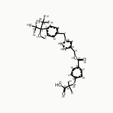 COC(c1ccc(Cn2cc(COC(=O)c3ccc(SC(C)(C)C(=O)O)cc3)nn2)cc1)(C(F)(F)F)C(F)(F)F